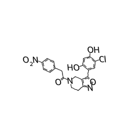 O=C(Cc1ccc([N+](=O)[O-])cc1)N1CCc2noc(-c3cc(Cl)c(O)cc3O)c2C1